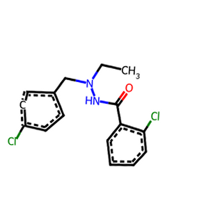 CCN(Cc1ccc(Cl)cc1)NC(=O)c1ccccc1Cl